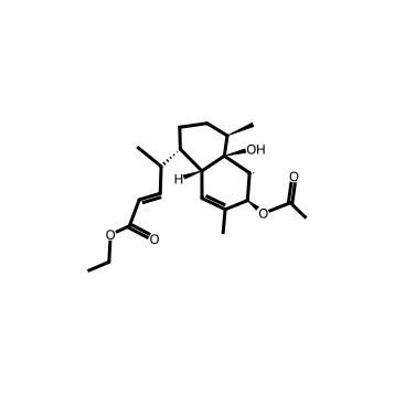 CCOC(=O)C=CC(C)[C@@H]1CC[C@@H](C)[C@]2(O)[CH][C@@H](OC(C)=O)C(C)=C[C@H]12